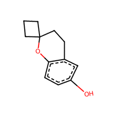 Oc1ccc2c(c1)CCC1(CCC1)O2